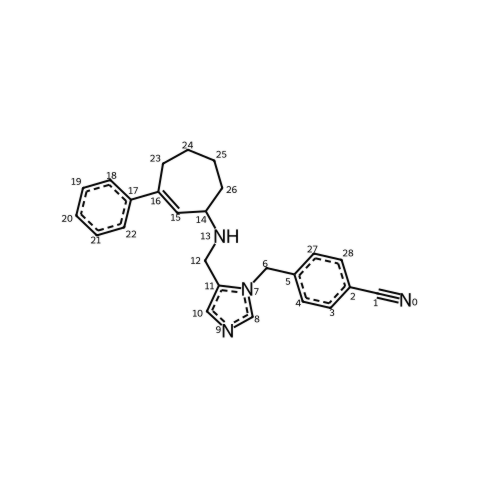 N#Cc1ccc(Cn2cncc2CNC2C=C(c3ccccc3)CCCC2)cc1